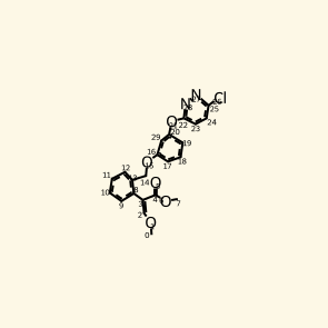 COC=C(C(=O)OC)c1ccccc1COc1cccc(Oc2ccc(Cl)nn2)c1